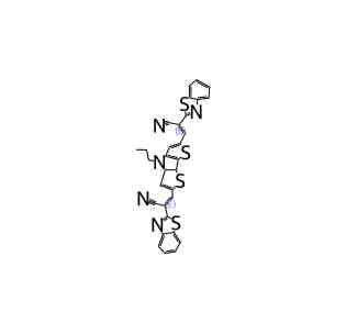 CCCN1c2cc(/C=C(\C#N)c3nc4ccccc4s3)sc2C2SC(/C=C(\C#N)c3nc4ccccc4s3)=CC21